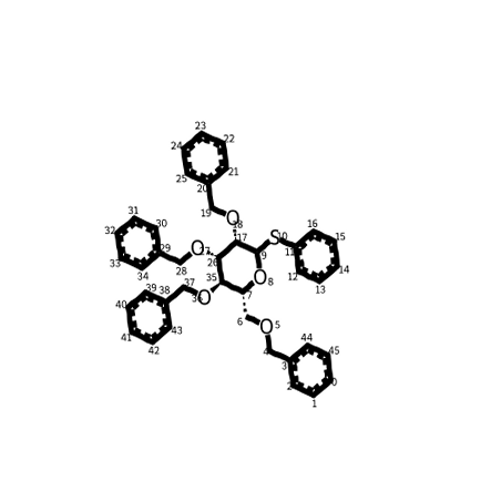 c1ccc(COC[C@H]2OC(Sc3ccccc3)[C@@H](OCc3ccccc3)[C@@H](OCc3ccccc3)[C@@H]2OCc2ccccc2)cc1